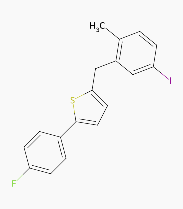 Cc1ccc(I)cc1Cc1ccc(-c2ccc(F)cc2)s1